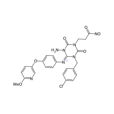 COc1ccc(Oc2ccc(/N=c3\n(N)c(=O)n(CCC(=O)N=O)c(=O)n3Cc3ccc(Cl)cc3)cc2)cn1